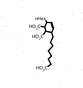 CCCCCCC1C=CC(CCCCCCCC(=O)O)C(C(=O)O)C1C(=O)O